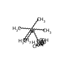 CCCCCCCCCCc1c(CCCCCCCCCC)c(CCCCCCCCCC)[n+](CCCCCCCCCC)c(CCCCCCCCCC)c1CCCCCCCCCC.CCc1c(C(=O)O)c(=O)cnn1-c1ccc(Cl)cc1